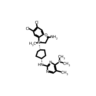 Cc1cnc(N[C@H]2CC[C@@H]([N+](C)(CC(N)=O)c3ccc(Cl)c(Cl)c3)CC2)nc1N(C)C